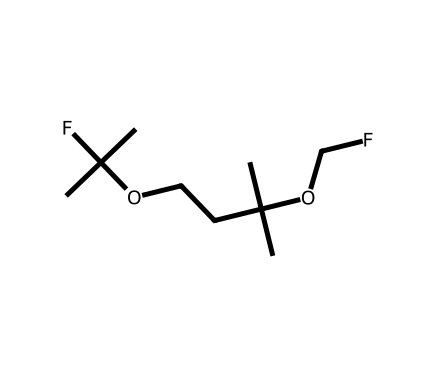 CC(C)(F)OCCC(C)(C)OCF